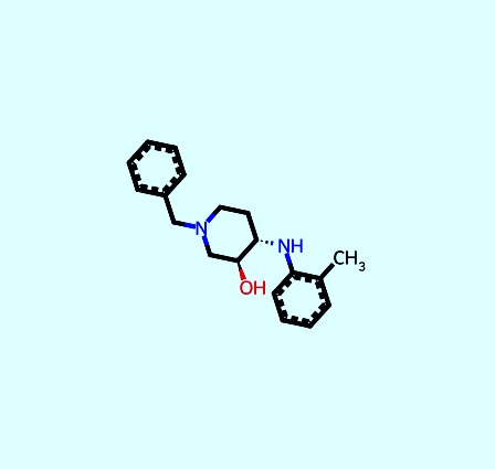 Cc1ccccc1N[C@H]1CCN(Cc2ccccc2)C[C@@H]1O